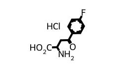 Cl.NC(CC(=O)c1ccc(F)cc1)C(=O)O